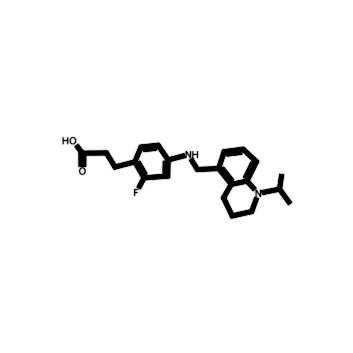 CC(C)N1CCCc2c(CNc3ccc(CCC(=O)O)c(F)c3)cccc21